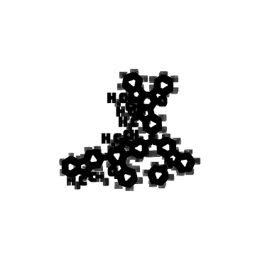 CC1(C)c2ccccc2-c2ccc(-c3cc4c(c5c3oc3ccccc35)-c3ccc(N(c5ccc6c(c5)C(C)(C)c5c7c(c8c(oc9ccccc98)c5-6)-c5ccccc5C7(C)C)c5ccc6c7ccccc7n(-c7ccccc7)c6c5)cc3C4(C)C)cc21